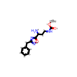 CC(C)(C)OC(=O)NCCC(N)c1nc(Cc2ccccc2)no1